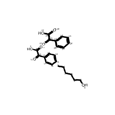 CCCCCCO.O=C(O)C(=O)c1ccccc1.O=C(O)C(=O)c1ccccc1